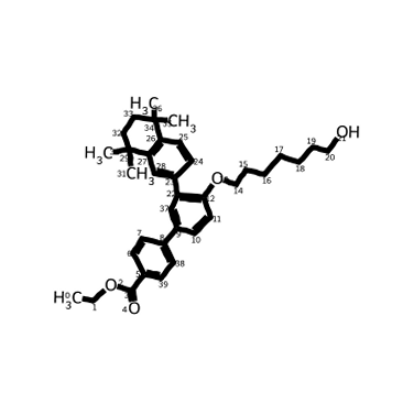 CCOC(=O)c1ccc(-c2ccc(OCCCCCCCO)c(-c3ccc4c(c3)C(C)(C)CCC4(C)C)c2)cc1